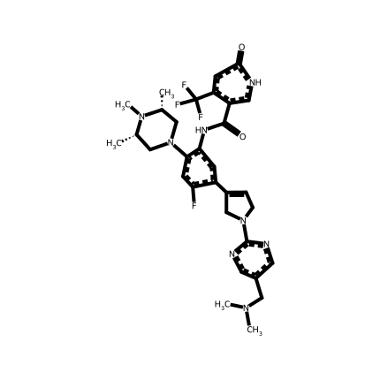 C[C@@H]1CN(c2cc(F)c(C3=CCN(c4ncc(CN(C)C)cn4)C3)cc2NC(=O)c2c[nH]c(=O)cc2C(F)(F)F)C[C@H](C)N1C